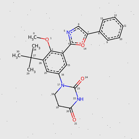 COc1c(-c2ncc(-c3ccccc3)o2)cc(N2CCC(=O)NC2=O)cc1C(C)(C)C